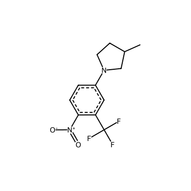 CC1CCN(c2ccc([N+](=O)[O-])c(C(F)(F)F)c2)C1